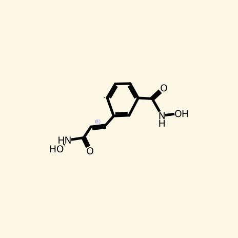 O=C(/C=C/c1[c]ccc(C(=O)NO)c1)NO